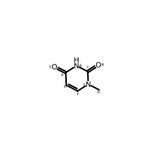 Cn1c[c]c(=O)[nH]c1=O